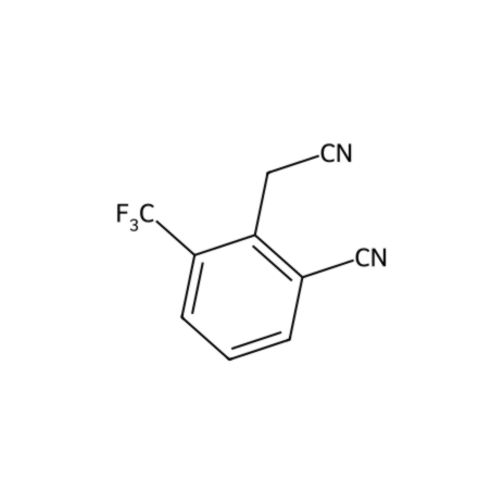 N#CCc1c(C#N)cccc1C(F)(F)F